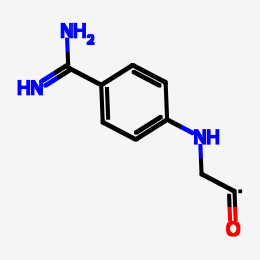 N=C(N)c1ccc(NC[C]=O)cc1